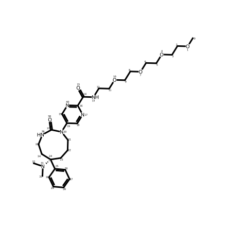 COCCOCCOCCOCCNC(=O)c1ncc(N2CCC[C@](c3ccccc3)(N(C)C)CCNC2=O)cn1